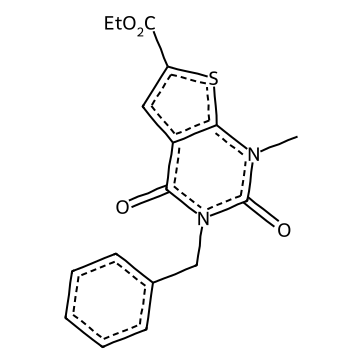 CCOC(=O)c1cc2c(=O)n(Cc3ccccc3)c(=O)n(C)c2s1